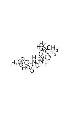 CC(C)(C)C(O)COc1cc(C(=O)NC(CC(=O)O)c2ccc(S(C)(=O)=O)cc2)nn1-c1ccccc1F